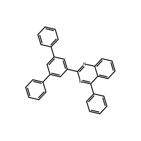 c1ccc(-c2cc(-c3ccccc3)cc(-c3nc(-c4ccccc4)c4ccccc4n3)c2)cc1